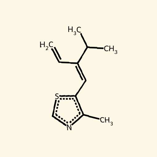 C=C/C(=C\c1scnc1C)C(C)C